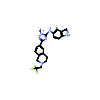 Cn1nc(-c2ccc3c(c2)CCN(CC(F)(F)F)C3)nc1Nc1ccc2[nH]ncc2c1Cl